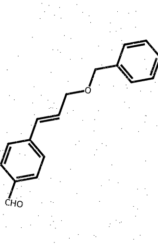 O=Cc1ccc(/C=C/COCc2ccccc2)cc1